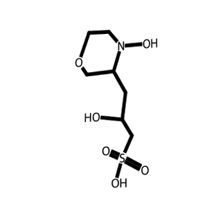 O=S(=O)(O)CC(O)CC1COCCN1O